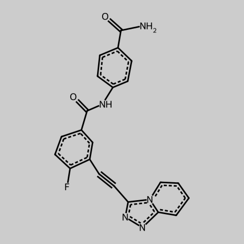 NC(=O)c1ccc(NC(=O)c2ccc(F)c(C#Cc3nnc4ccccn34)c2)cc1